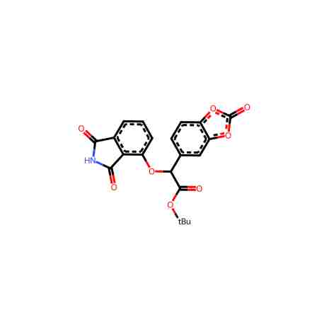 CC(C)(C)OC(=O)C(Oc1cccc2c1C(=O)NC2=O)c1ccc2oc(=O)oc2c1